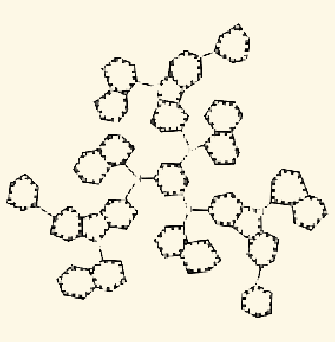 c1ccc(-c2ccc3c(c2)c2cc(N(c4cc(N(c5ccc6c(c5)c5cc(-c7ccccc7)ccc5n6-c5cccc6ccccc56)c5cccc6ccccc56)cc(N(c5ccc6c(c5)c5cc(-c7ccccc7)ccc5n6-c5cccc6ccccc56)c5cccc6ccccc56)c4)c4cccc5ccccc45)ccc2n3-c2cccc3ccccc23)cc1